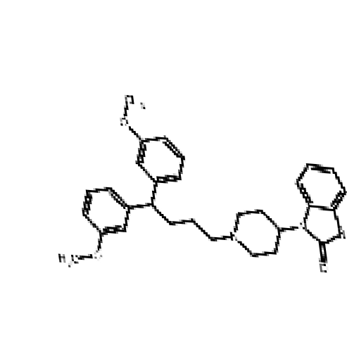 COc1cccc(C(CCCN2CCC(n3c(=O)[nH]c4ccccc43)CC2)c2cccc(OC)c2)c1